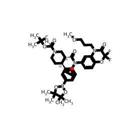 COCCCN1C(=O)C(F)(F)Oc2ccc(N(C(=O)[C@H]3CN(C(=O)OC(C)(C)C)CC[C@@H]3c3cccc(B4OC(C)(C)C(C)(C)O4)c3)C3CC3)cc21